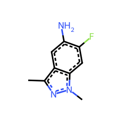 Cc1nn(C)c2cc(F)c(N)cc12